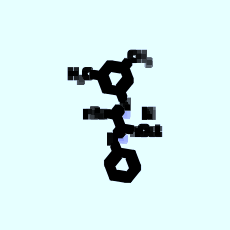 CCCCCCCCC(=N\c1ccccc1)/C(CCCC)=N/c1cc(C)cc(C)c1.[Ni]